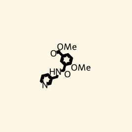 COC(=O)c1ccc(OC)c(C(=O)NCc2cccnc2)c1